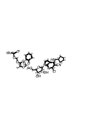 C[C@H](O[P@](=O)(COCC1O[C@@H](n2ccc3c(NC4CCCC4)c(C#N)c(Cl)nc32)[C@H](O)[C@@H]1O)Oc1ccccc1)C(=O)OCOC(=O)C(C)(C)C